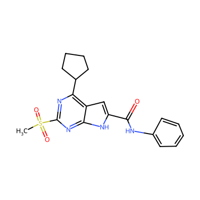 CS(=O)(=O)c1nc(C2CCCC2)c2cc(C(=O)Nc3ccccc3)[nH]c2n1